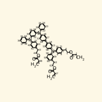 C=CC(=O)OCCc1ccc(N(c2ccc(-c3ccc(N(c4ccccc4)c4cccc(N(c5ccccc5)c5ccc(CCOC(=O)C=C)cc5)c4)cc3)cc2)c2cccc(CCOC(=O)C=C)c2)cc1